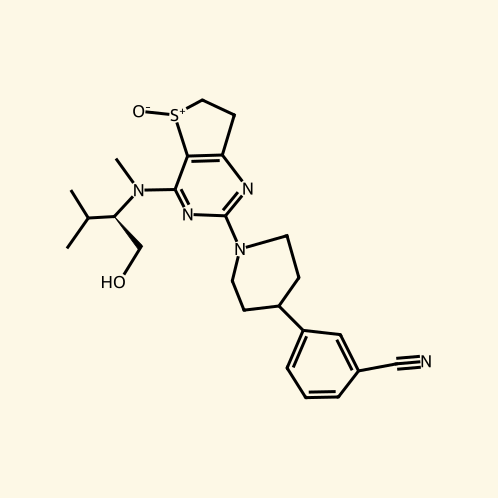 CC(C)[C@H](CO)N(C)c1nc(N2CCC(c3cccc(C#N)c3)CC2)nc2c1[S+]([O-])CC2